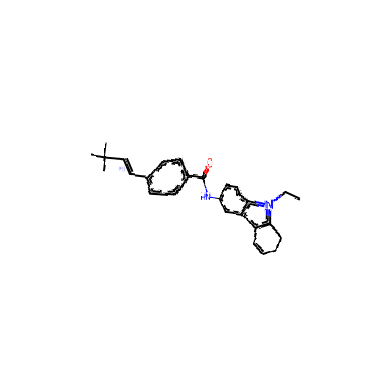 CCn1c2c(c3cc(NC(=O)c4ccc(/C=C/C(C)(C)C)cc4)ccc31)C=CCC2